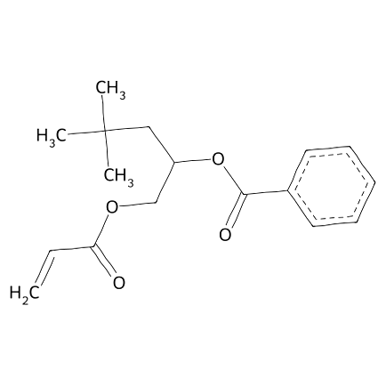 C=CC(=O)OCC(CC(C)(C)C)OC(=O)c1ccccc1